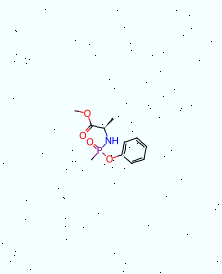 COC(=O)[C@@H](C)NP(C)(=O)Oc1ccccc1